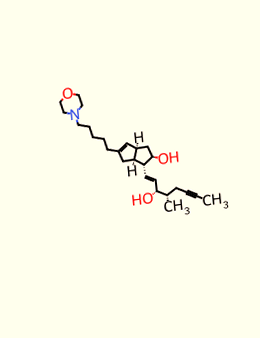 CC#CC[C@H](C)[C@H](O)/C=C/[C@@H]1[C@H]2CC(CCCCCN3CCOCC3)=C[C@H]2C[C@H]1O